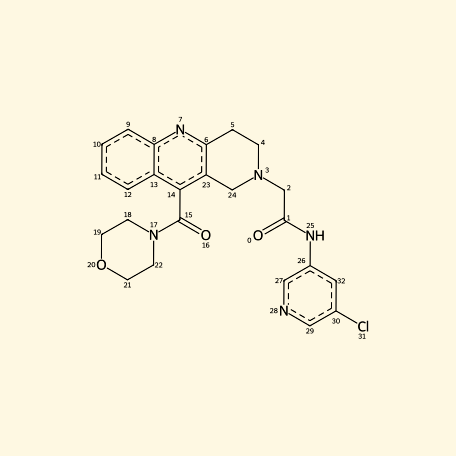 O=C(CN1CCc2nc3ccccc3c(C(=O)N3CCOCC3)c2C1)Nc1cncc(Cl)c1